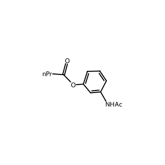 CCCC(=O)Oc1cccc(NC(C)=O)c1